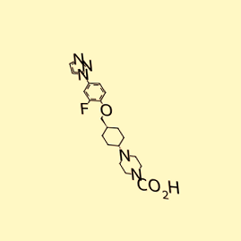 O=C(O)N1CCN([C@H]2CC[C@H](COc3ccc(-n4ccnn4)cc3F)CC2)CC1